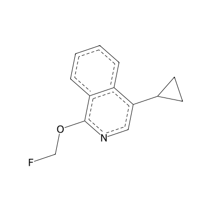 FCOc1ncc(C2CC2)c2ccccc12